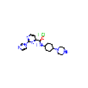 Cl.O=C(NC1CCC(N2CCNCC2)CC1)c1ccnc(-n2ccnc2)n1